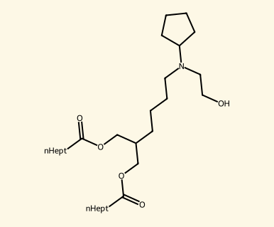 CCCCCCCC(=O)OCC(CCCCN(CCO)C1CCCC1)COC(=O)CCCCCCC